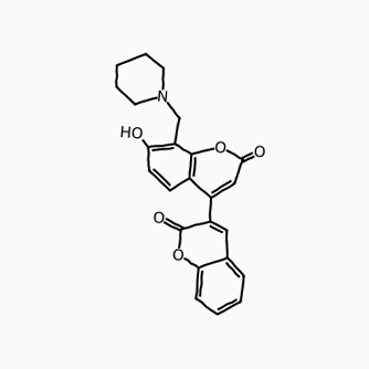 O=c1cc(-c2cc3ccccc3oc2=O)c2ccc(O)c(CN3CCCCC3)c2o1